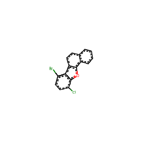 Clc1ccc(Br)c2c1oc1c3ccccc3ccc12